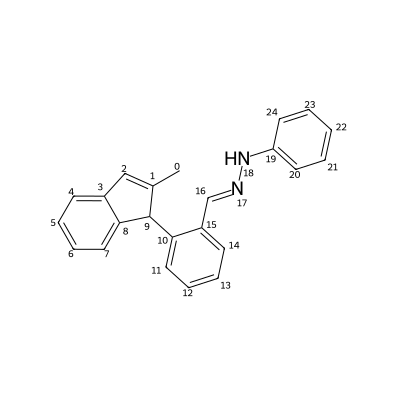 CC1=Cc2ccccc2C1c1ccccc1C=NNc1ccccc1